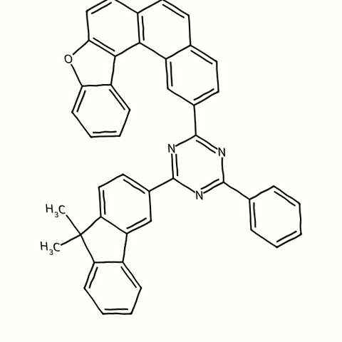 CC1(C)c2ccccc2-c2cc(-c3nc(-c4ccccc4)nc(-c4ccc5ccc6ccc7oc8ccccc8c7c6c5c4)n3)ccc21